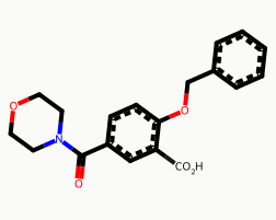 O=C(O)c1cc(C(=O)N2CCOCC2)ccc1OCc1ccccc1